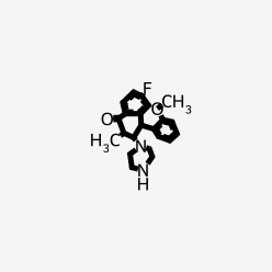 COc1ccccc1C1c2cc(F)ccc2C(=O)C(C)C1N1CCNCC1